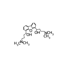 CN(C)CCCC(O)c1cccc2c1oc1c(C(O)CCCN(C)C)cccc12